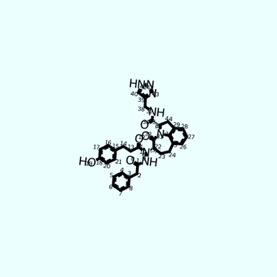 O=C(Cc1ccccc1)NN(C(=O)CCc1ccc(O)cc1)[C@H]1CCc2cccc3c2N(C1=O)[C@H](C(=O)NCc1c[nH]nn1)C3